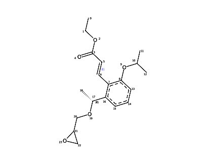 CCOC(=O)/C=C/c1c(OC(C)C)cccc1[C@@H](C)OCC1CO1